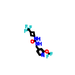 O=C(NCc1ccnc(OC(F)F)c1)NC1CC(C(F)(F)F)C1